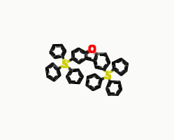 c1ccc(S(c2ccccc2)(c2ccccc2)c2ccc3oc4ccc(S(c5ccccc5)(c5ccccc5)c5ccccc5)cc4c3c2)cc1